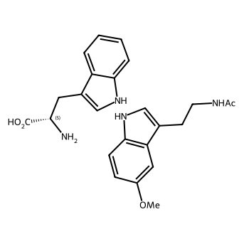 COc1ccc2[nH]cc(CCNC(C)=O)c2c1.N[C@@H](Cc1c[nH]c2ccccc12)C(=O)O